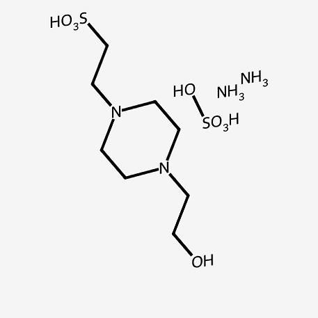 N.N.O=S(=O)(O)CCN1CCN(CCO)CC1.O=S(=O)(O)O